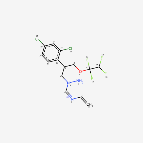 C=C/N=C\N(N)CC(COC(F)(F)C(F)F)c1ccc(Cl)cc1Cl